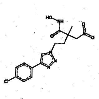 CC(CCn1cc(-c2ccc(Cl)cc2)nn1)(C[SH](=O)=O)C(=O)NO